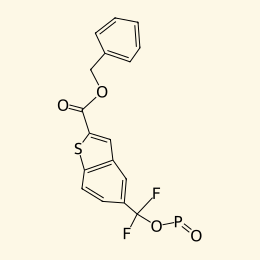 O=POC(F)(F)c1ccc2sc(C(=O)OCc3ccccc3)cc2c1